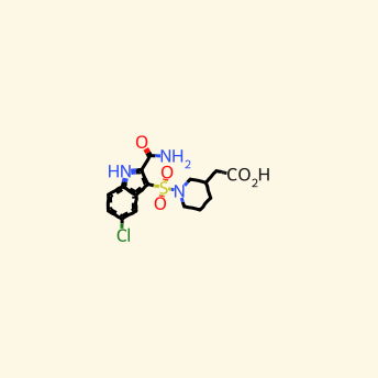 NC(=O)c1[nH]c2ccc(Cl)cc2c1S(=O)(=O)N1CCCC(CC(=O)O)C1